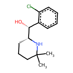 CC1(C)CCC[C@H]([C@H](O)c2ccccc2Cl)N1